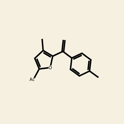 C=C(c1ccc(C)cc1)c1oc(C(C)=O)cc1C